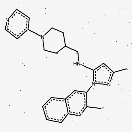 Cc1cc(NCC2CCN(c3ccncc3)CC2)n(-c2cc3ccccc3cc2F)n1